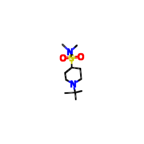 CN(C)S(=O)(=O)C1CCN(C(C)(C)C)CC1